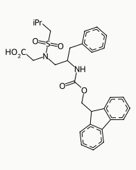 CC(C)CS(=O)(=O)N(CC(=O)O)CC(Cc1ccccc1)NC(=O)OCC1c2ccccc2-c2ccccc21